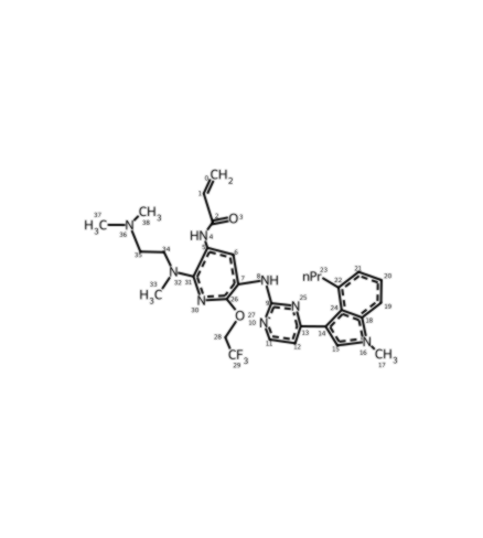 C=CC(=O)Nc1cc(Nc2nccc(-c3cn(C)c4cccc(CCC)c34)n2)c(OCC(F)(F)F)nc1N(C)CCN(C)C